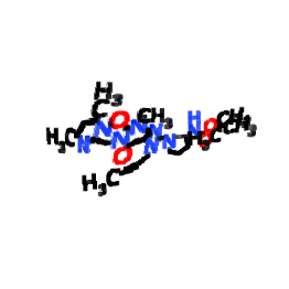 CC#CCn1c(N2CCC[C@@H](NC(=O)OC(C)(C)C)C2)nc2c1c(=O)n(Cc1nc(C)cc(C)n1)c(=O)n2C